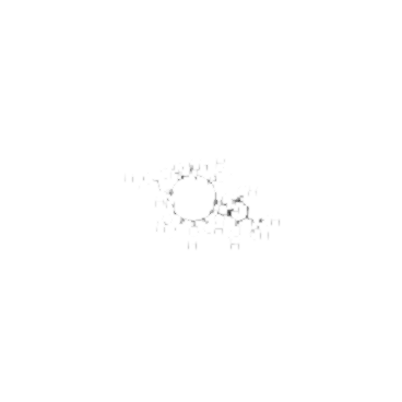 CC(C)C[C@H]1CC(=O)N(C)C[C@H](C)C[C@@](C)(O)[C@H](O[C@@H]2O[C@H](C)C[C@H](N(C)C)[C@H]2O)[C@@H](C)[C@H](O)[C@@H](C)C(=O)N1